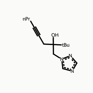 CCCC#CCC(O)(Cn1cncn1)C(C)(C)C